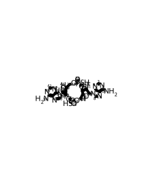 Nc1ncnc2c1ncn2[C@@H]1O[C@@H]2COP(=O)(S)O[C@H]3C(O)[C@@H](COP(=O)(S)O[C@@H]2[C@@H]1F)O[C@H]3n1cnc2c(N)ncnc21